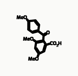 COc1ccc(C(=O)c2c(OC)cc(OC)cc2C(=O)O)cc1